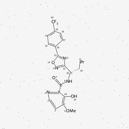 COc1ccnc(C(=O)N[C@@H](CC(C)C)c2noc(-c3ccc(C(F)(F)F)cc3)n2)c1O